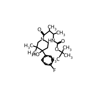 CC(NC(=O)OC(C)(C)C)C(C)C(=O)N1CCC(O)(c2ccc(F)cc2)C(C)(C)C1